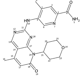 Cc1cc(C(N)=O)ncc1Nc1ncc2c(C)cc(=O)n(C3CCOCC3)c2n1